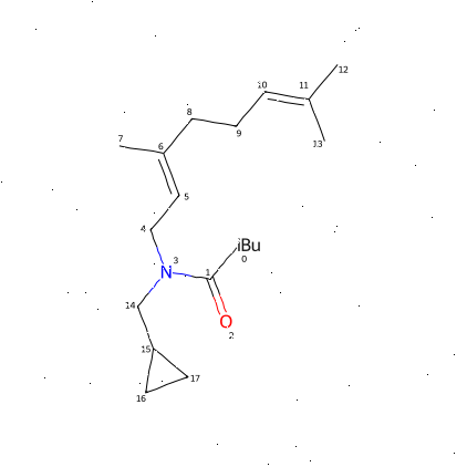 CCC(C)C(=O)N(C/C=C(\C)CCC=C(C)C)CC1CC1